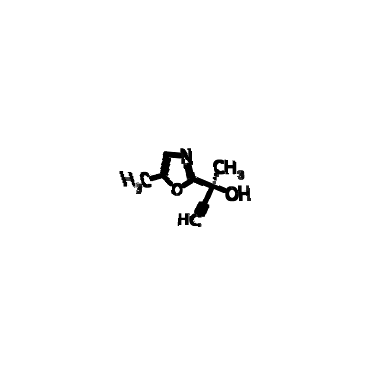 C#C[C@](C)(O)c1ncc(C)o1